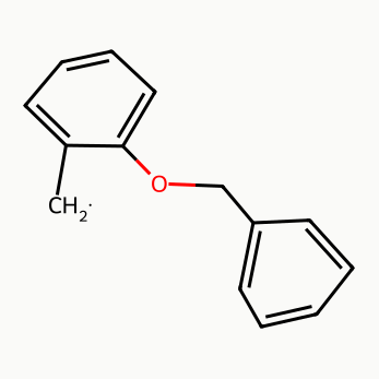 [CH2]c1ccccc1OCc1ccccc1